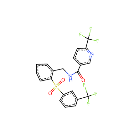 O=C(NCc1ccccc1S(=O)(=O)c1cccc(C(F)(F)F)c1)c1ccc(C(F)(F)F)nc1